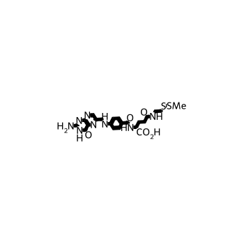 CSSCCNC(=O)CCC(NC(=O)c1ccc(NCc2cnc3nc(N)[nH]c(=O)c3n2)cc1)C(=O)O